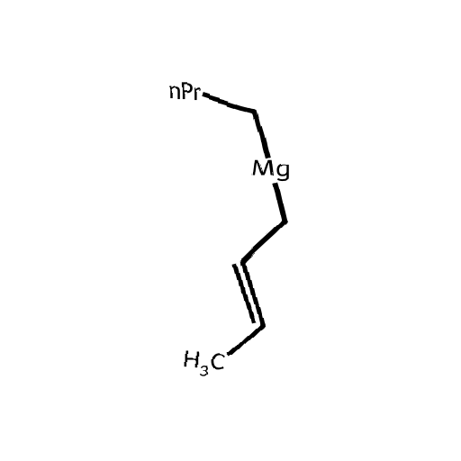 CC=C[CH2][Mg][CH2]CCC